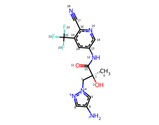 C[C@](O)(Cn1cc(N)cn1)C(=O)Nc1cnc(C#N)c(C(F)(F)F)c1